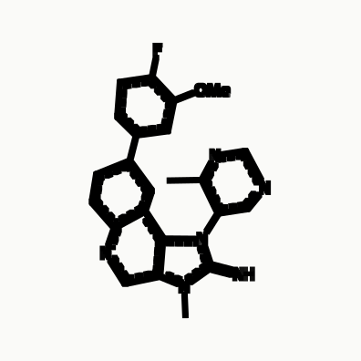 COc1cc(-c2ccc3ncc4c(c3c2)n(-c2cncnc2C)c(=N)n4C)ccc1F